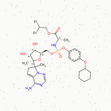 CCC(CC)COC(=O)[C@H](C)NP(=O)(OC[C@H]1O[C@@](C)(C2(C)CC=C3C(N)=NC=NN32)[C@H](O)[C@@H]1O)Oc1ccc(OC2CCCCC2)cc1